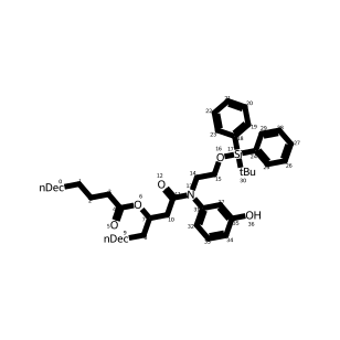 CCCCCCCCCCCCCC(=O)OC(CCCCCCCCCCC)CC(=O)N(CCO[Si](c1ccccc1)(c1ccccc1)C(C)(C)C)c1cccc(O)c1